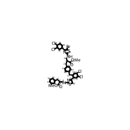 COC(=O)C(CNc1nc(-c2cc(Cl)c(Cl)cc2Cc2ccc(CC(CNc3nc(-c4ccc(Cl)c(Cl)c4)c(Br)s3)C(=O)OC)cc2)cs1)Cc1ccccc1